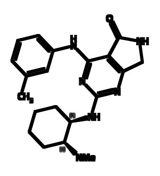 CN[C@H]1CCCC[C@H]1Nc1nc2c(c(Nc3cccc(C)c3)n1)C(=O)NC2